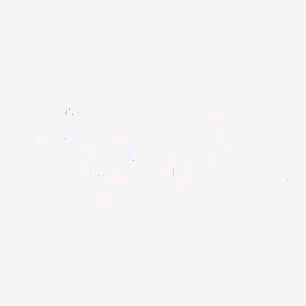 CCCCCCCCCCCCCCC(=O)OC(COC(=O)CCCCCCCCCCCC)COP(=O)(O)OCCNC[C@@H](O)C1OB([C@H](CC(C)C)NC(=O)[C@H](Cc2ccccc2)NC)O[C@@H]1C(O)CO